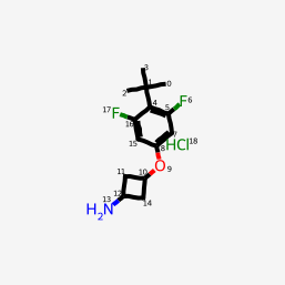 CC(C)(C)c1c(F)cc(OC2CC(N)C2)cc1F.Cl